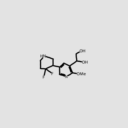 COc1ncc(C2CNCCC2(F)F)cc1C(O)CO